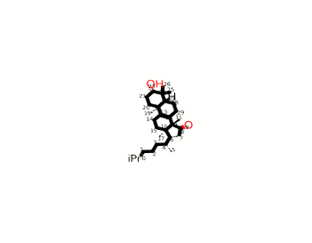 CC(C)CCC[C@@H](C)[C@H]1CC(=O)[C@@]2(C)C3=C(CC[C@]12C)[C@@]1(C)CC[C@H](O)C(C)(C)[C@@H]1CC3